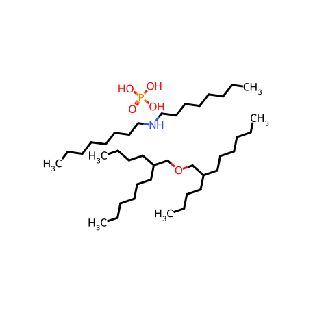 CCCCCCC(CCCC)COCC(CCCC)CCCCCC.CCCCCCCCNCCCCCCCC.O=P(O)(O)O